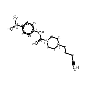 C#CCCCN1CCN(C(=O)Oc2ccc([N+](=O)[O-])cc2)CC1